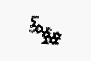 COCCC(=O)N1CCN(c2nc(C3CC3)c(-c3ccc(F)c4ccccc34)cc2N)C[C@H]1C